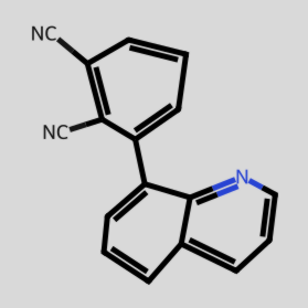 N#Cc1cccc(-c2cccc3cccnc23)c1C#N